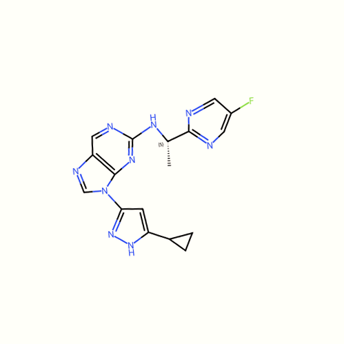 C[C@H](Nc1ncc2ncn(-c3cc(C4CC4)[nH]n3)c2n1)c1ncc(F)cn1